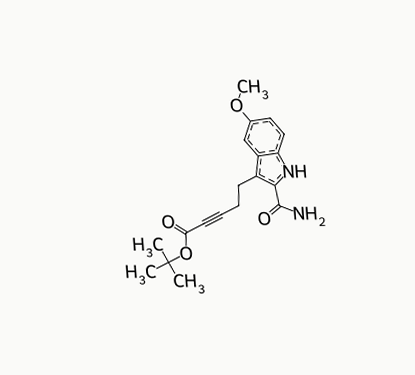 COc1ccc2[nH]c(C(N)=O)c(CCC#CC(=O)OC(C)(C)C)c2c1